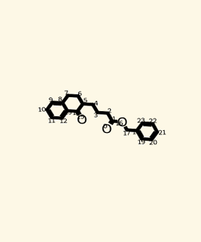 O=C(CCCC1CCc2ccccc2C1=O)OCc1ccccc1